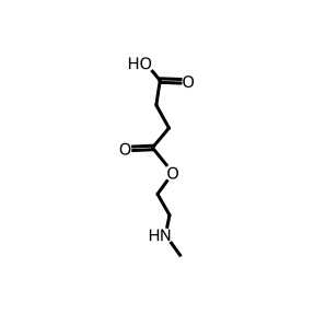 CNCCOC(=O)CCC(=O)O